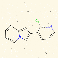 Clc1ncccc1-c1cc2ccccn2c1